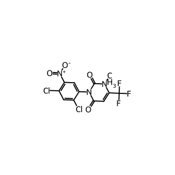 Cn1c(C(F)(F)F)cc(=O)n(-c2cc([N+](=O)[O-])c(Cl)cc2Cl)c1=O